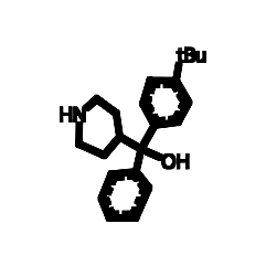 CC(C)(C)c1ccc(C(O)(c2ccccc2)C2CCNCC2)cc1